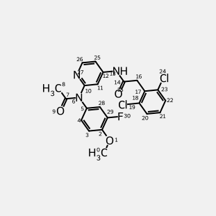 COc1ccc(N(C(C)=O)c2cc(NC(=O)Cc3c(Cl)cccc3Cl)ccn2)cc1F